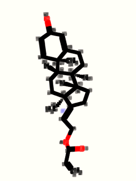 C=CC(=O)OC/C=C1\CC[C@H]2[C@@H]3CCC4=CC(=O)C=C[C@]4(C)[C@H]3CC[C@]12C